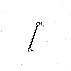 [CH]=CCCCCCCCCCCC=CCCCC